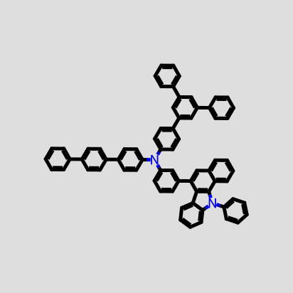 c1ccc(-c2ccc(-c3ccc(N(c4ccc(-c5cc(-c6ccccc6)cc(-c6ccccc6)c5)cc4)c4cccc(-c5cc6ccccc6c6c5c5ccccc5n6-c5ccccc5)c4)cc3)cc2)cc1